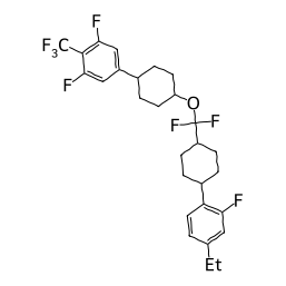 CCc1ccc(C2CCC(C(F)(F)OC3CCC(c4cc(F)c(C(F)(F)F)c(F)c4)CC3)CC2)c(F)c1